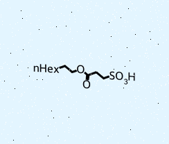 CCCCCCCCOC(=O)CCS(=O)(=O)O